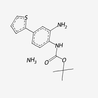 CC(C)(C)OC(=O)Nc1ccc(-c2cccs2)cc1N.N